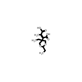 CCC1OCC(CC)(C(C(=O)O)=C(C)C(=O)O)CO1